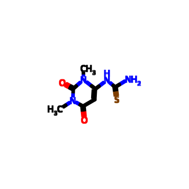 Cn1c(NC(N)=S)cc(=O)n(C)c1=O